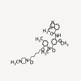 COc1cc(C(=O)N(C)c2ccc(C)cc2OCCCCCC(=O)N2CCN(C)CC2)ccc1NC(=O)c1cccc2ncn(C)c12